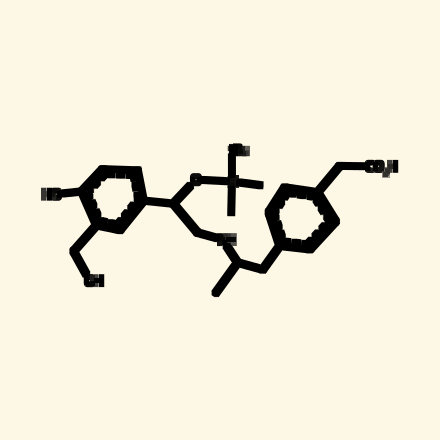 CC(Cc1ccc(CC(=O)O)cc1)NCC(O[Si](C)(C)C(C)(C)C)c1ccc(O)c(CO)c1